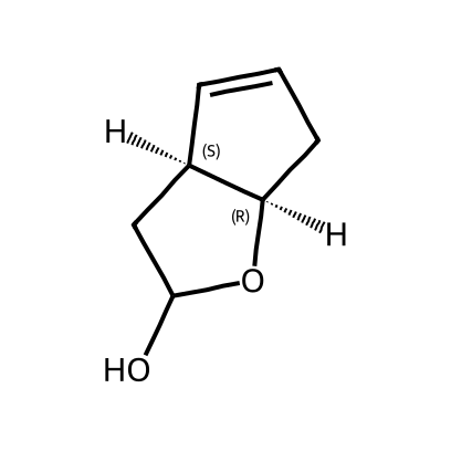 OC1C[C@H]2C=CC[C@H]2O1